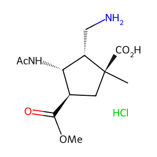 COC(=O)[C@@H]1C[C@](C)(C(=O)O)[C@@H](CN)[C@H]1NC(C)=O.Cl